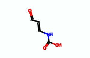 O=[C]C=CNC(=O)O